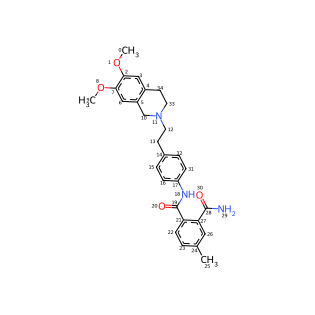 COc1cc2c(cc1OC)CN(CCc1ccc(NC(=O)c3ccc(C)cc3C(N)=O)cc1)CC2